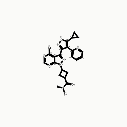 CCN(C)C(=O)C1CC(n2nc(-c3noc(C4CC4)c3-c3ccccn3)c3c(N)ncnc32)C1